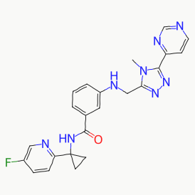 Cn1c(CNc2cccc(C(=O)NC3(c4ccc(F)cn4)CC3)c2)nnc1-c1ccncn1